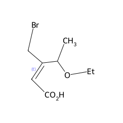 CCOC(C)/C(=C\C(=O)O)CBr